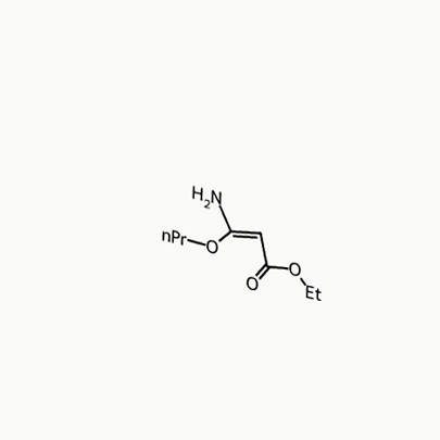 CCCO/C(N)=C\C(=O)OCC